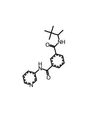 CC(NC(=O)c1cccc(C(=O)Nc2cccnc2)c1)C(C)(C)C